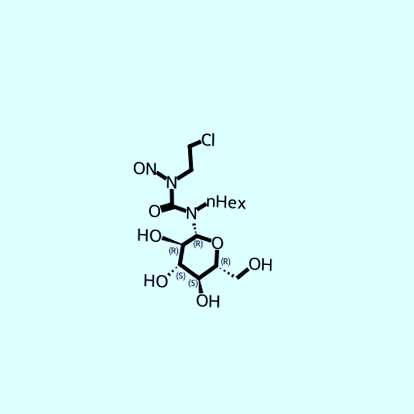 CCCCCCN(C(=O)N(CCCl)N=O)[C@@H]1O[C@H](CO)[C@@H](O)[C@H](O)[C@H]1O